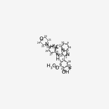 COc1cc(-c2nc3cccc(C)n3c2Nc2ccc(N3CCOCC3)cc2)cc(F)c1O